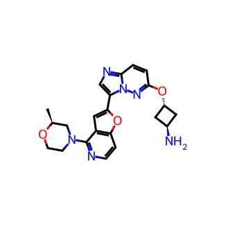 C[C@H]1CN(c2nccc3oc(-c4cnc5ccc(O[C@H]6C[C@H](N)C6)nn45)cc23)CCO1